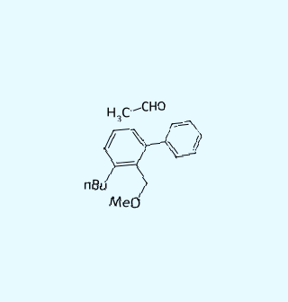 CC=O.CCCCc1cccc(-c2ccccc2)c1COC